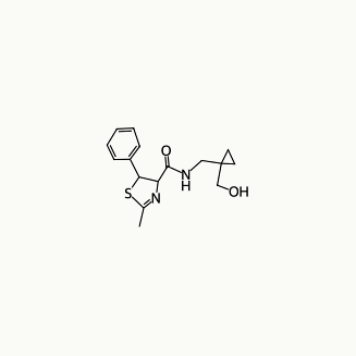 CC1=NC(C(=O)NCC2(CO)CC2)C(c2ccccc2)S1